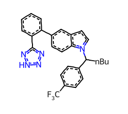 CCCCC(c1ccc(C(F)(F)F)cc1)n1ccc2cc(-c3ccccc3-c3nn[nH]n3)ccc21